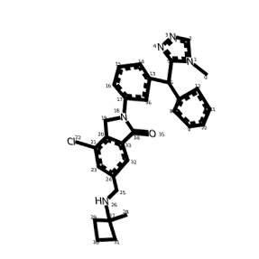 Cn1cnnc1C(c1ccccc1)c1cccc(N2Cc3c(Cl)cc(CNC4(C)CCC4)cc3C2=O)c1